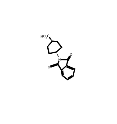 O=C1c2ccccc2C(=O)N1[C@H]1CC[C@H](C(=O)O)CC1